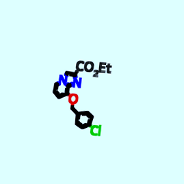 CCOC(=O)c1cn2cccc(OCc3ccc(Cl)cc3)c2n1